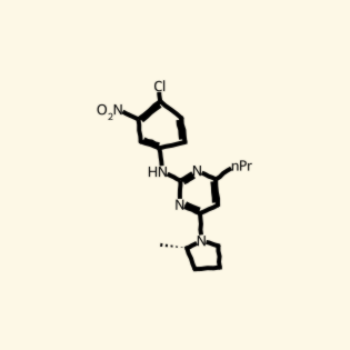 CCCc1cc(N2CCC[C@@H]2C)nc(Nc2ccc(Cl)c([N+](=O)[O-])c2)n1